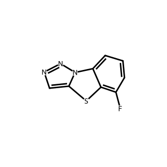 Fc1cccc2c1sc1cnnn12